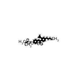 C=C(C)C(=O)OCOc1ccc2cc(-c3ccc(CCCCC)cc3C3CC3)c(=O)oc2c1